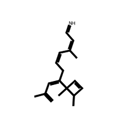 C=C(C)/C=C(/C/C=C\C(C)=C/C=N)C1(C)C=CC1C